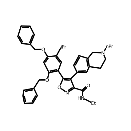 CCCN1CCc2cc(-c3c(C(=O)NCC)noc3-c3cc(C(C)C)c(OCc4ccccc4)cc3OCc3ccccc3)ccc2C1